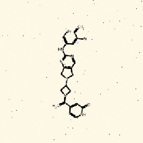 C=C/C(=C\C(=C/C(C)C)Nc1ncc2c(n1)CN(C1CN(C(=C)c3cc[nH]c(=O)c3)C1)C2)CC